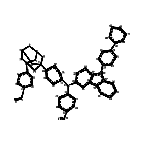 C=Cc1ccc(C23CC4CC(C2)CC(c2ccc(N(c5ccc(CCCC)cc5)c5ccc6c(c5)c5ccccc5n6-c5ccc(-c6ccccc6)cc5)cc2)(C4)C3)cc1